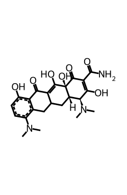 CN(C)c1ccc(O)c2c1CC1C[C@H]3[C@H](N(C)C)C(O)=C(C(N)=O)C(=O)[C@@]3(O)C(O)=C1C2=O